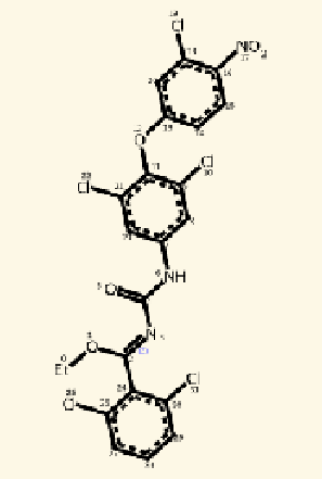 CCO/C(=N\C(=O)Nc1cc(Cl)c(Oc2ccc([N+](=O)[O-])c(Cl)c2)c(Cl)c1)c1c(Cl)cccc1Cl